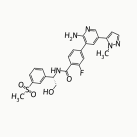 Cn1nccc1-c1cnc(N)c(-c2ccc(C(=O)N[C@H](CO)c3cccc(S(C)(=O)=O)c3)c(F)c2)c1